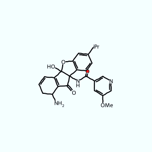 COc1cncc(C(=O)NC23C(=O)C4=C(C=CCC4N)C2(O)Oc2cc(C(C)C)ccc23)c1